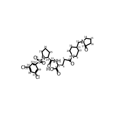 O=C(O)[C@H](CCC(=O)N1CCC(CN2CCCC2=O)CC1)NC(=O)[C@@H]1CCCN1S(=O)(=O)c1cc(Cl)cc(Cl)c1